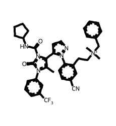 Cc1c(-c2ccnn2-c2ccc(C#N)cc2CC[N+](C)(C)Cc2ccccc2)n(C(=O)NC2CCCC2)c(=O)n1-c1cccc(C(F)(F)F)c1